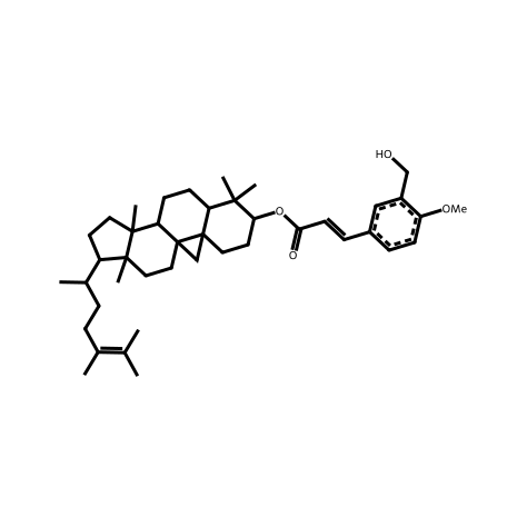 COc1ccc(/C=C/C(=O)OC2CCC34CC35CCC3(C)C(C(C)CCC(C)=C(C)C)CCC3(C)C5CCC4C2(C)C)cc1CO